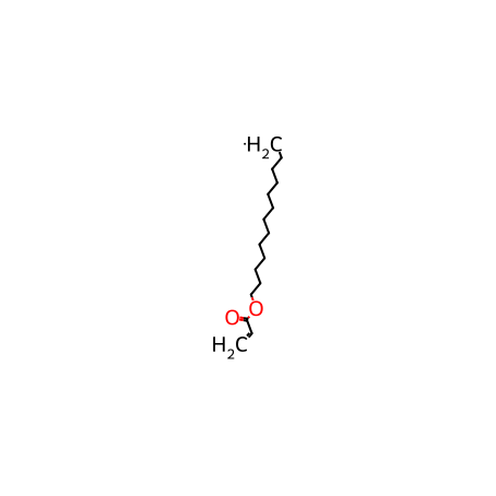 [CH2]CCCCCCCCCCCCOC(=O)C=C